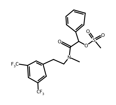 CN(CCc1cc(C(F)(F)F)cc(C(F)(F)F)c1)C(=O)C(OS(C)(=O)=O)c1ccccc1